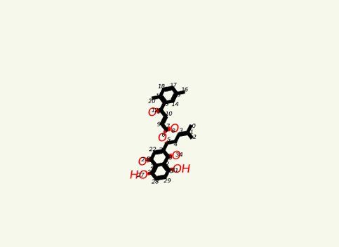 CC(C)=CCC(OC(=O)/C=C/C(=O)c1cc(C)ccc1C)C1=CC(=O)c2c(O)ccc(O)c2C1=O